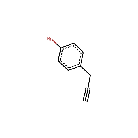 C#CCc1ccc(Br)cc1